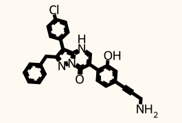 NCC#Cc1ccc(-c2c[nH]c3c(-c4ccc(Cl)cc4)c(Cc4ccccc4)nn3c2=O)c(O)c1